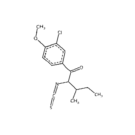 CCC(C)C(N=C=S)C(=O)c1ccc(OC)c(Cl)c1